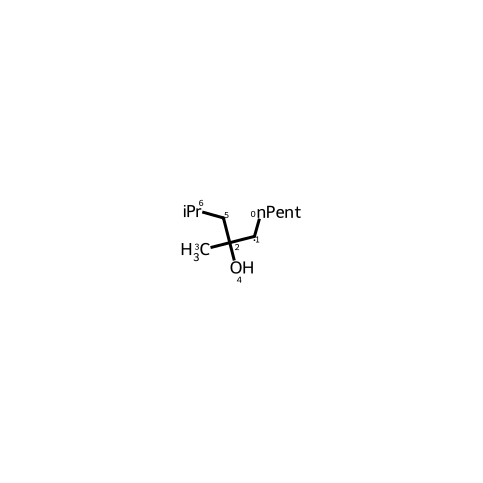 CCCCC[CH]C(C)(O)CC(C)C